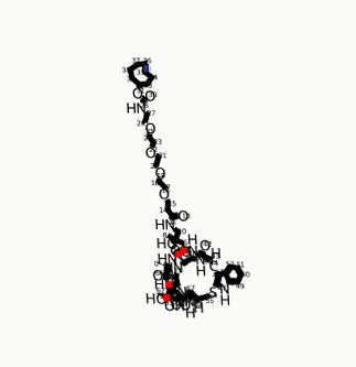 C[C@@H]1NC(=O)[C@@H](CC(C)(O)CNC(=O)CCOCCOCCOCCOCCNC(=O)OC2CC/C=C/CCC2)NC(=O)[C@@H]2Cc3c([nH]c4ccccc34)SC[C@@H](NC(=O)[C@@H]([C@H](C)O)NC1=O)C(=O)N1C[C@H](O)C[C@H]1C(=O)N[C@@H](C)C(=O)N2